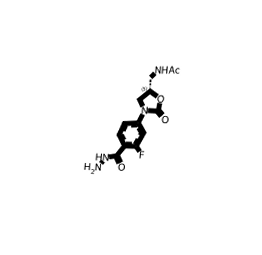 CC(=O)NC[C@H]1CN(c2ccc(C(=O)NN)c(F)c2)C(=O)O1